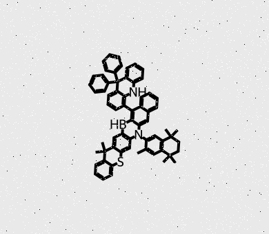 Cc1cc2c(cc1N1c3cc4c(cc3Bc3c1cc1ccccc1c3-c1cccc3c1Nc1ccccc1C3(c1ccccc1)c1ccccc1)C(C)(C)c1ccccc1S4)C(C)(C)CCC2(C)C